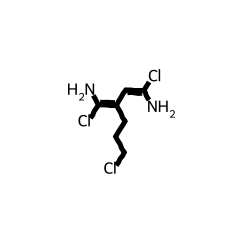 N/C(Cl)=C\C(CCCCl)=C(/N)Cl